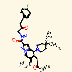 COC(=O)Cc1c(C)cn2nc(C(=O)NCC(=O)Cc3ccc(F)cc3)cc2c1N1CCC(C)(C)CC1